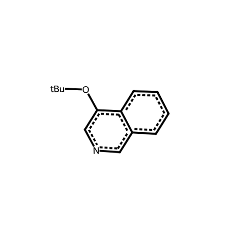 CC(C)(C)Oc1cncc2ccccc12